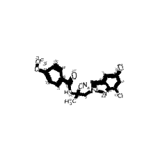 CC(C#N)(Cn1cc2cc(Cl)cc(Cl)c2n1)NC(=O)c1ccc(OC(F)(F)F)cc1